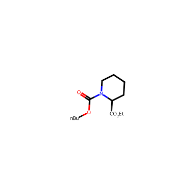 CCCCOC(=O)N1CCCCC1C(=O)OCC